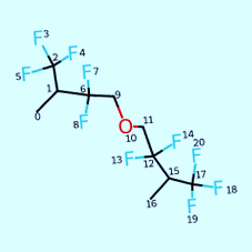 CC(C(F)(F)F)C(F)(F)COCC(F)(F)C(C)C(F)(F)F